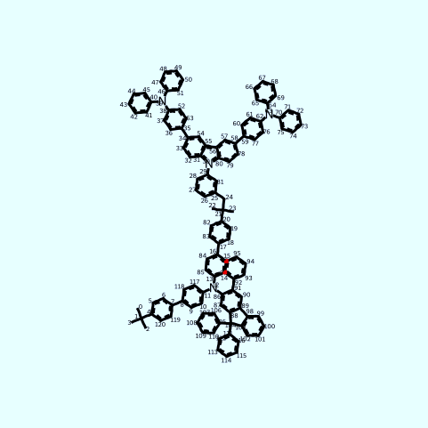 CC(C)(C)c1ccc(-c2ccc(N(c3ccc(-c4ccc(C(C)(C)Cc5cccc(-n6c7ccc(-c8ccc(N(c9ccccc9)c9ccccc9)cc8)cc7c7cc(-c8ccc(N(c9ccccc9)c9ccccc9)cc8)ccc76)c5)cc4)cc3)c3cc4c(cc3-c3ccccc3)-c3ccccc3C4(c3ccccc3)c3ccccc3)cc2)cc1